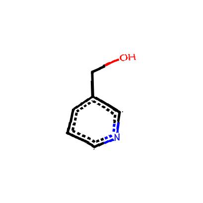 OCc1[c]n[c]cc1